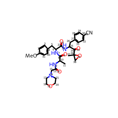 COc1ccc(CC(NC(=O)C(C)NC(=O)CN2CCOCC2)C(=O)NC(Cc2ccc(C#N)cc2)C(=O)C2(C)CO2)cc1